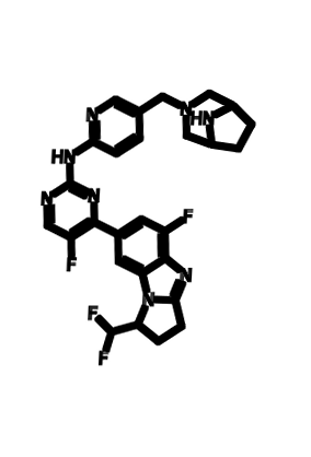 Fc1cnc(Nc2ccc(CN3CC4CCC(C3)N4)cn2)nc1-c1cc(F)c2nc3n(c2c1)C(C(F)F)CC3